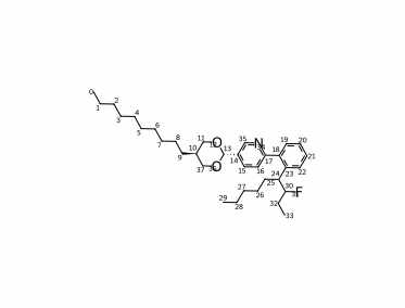 CCCCCCCCCC[C@H]1CO[C@H](c2ccc(-c3ccccc3C(CCCCC)C(F)CC)nc2)OC1